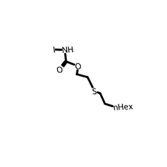 CCCCCCCCSCCOC(=O)NI